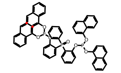 O=P(c1ccccc1)(c1ccccc1OP(Oc1cccc2ccccc12)Oc1cccc2ccccc12)c1ccccc1OP(Oc1cccc2ccccc12)Oc1cccc2ccccc12